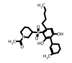 CCCCCc1cc(O)c(C2C=C(C)CCC2)c(O)c1S(=O)(=O)C1CCCN(C(C)=O)C1